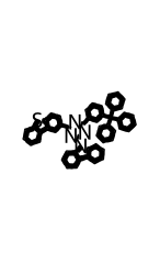 c1ccc(C(c2ccccc2)(c2ccccc2)c2cccc(-c3nc(-c4ccc5sc6ccccc6c5c4)nc(-n4c5ccccc5c5ccccc54)n3)c2)cc1